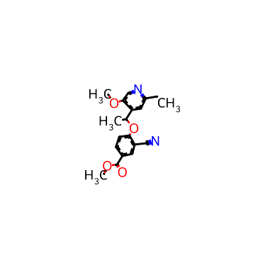 CCc1cc(C(C)Oc2ccc(C(=O)OC)cc2C#N)c(OC)cn1